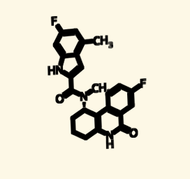 Cc1cc(F)cc2[nH]c(C(=O)N(C)[C@H]3CCCc4[nH]c(=O)c5cc(F)ccc5c43)cc12